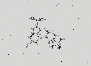 O=C(O)c1cc2cc(F)ccc2n1Cc1ccc(C(F)(F)F)cc1